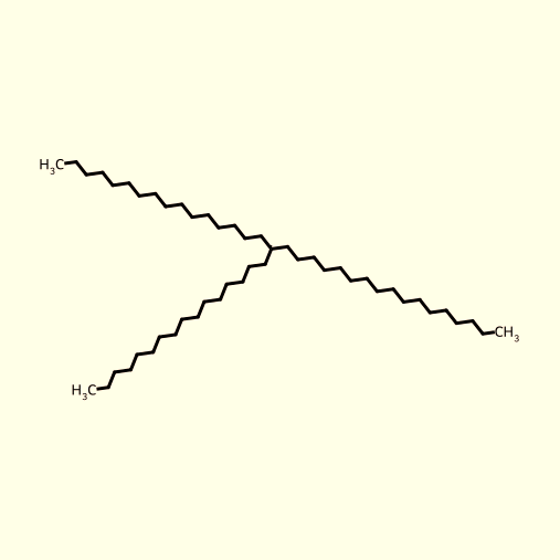 CCCCCCCCCCCCCCCCC[C](CCCCCCCCCCCCCCCC)CCCCCCCCCCCCCCCC